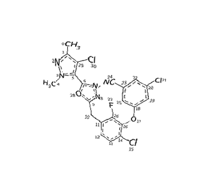 Cc1nn(C)c(-c2nnc(Cc3ccc(Cl)c(Oc4cc(Cl)cc(C#N)c4)c3F)o2)c1Cl